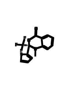 CN1c2ccccc2C(=O)O[C@@]1(c1cccs1)C(F)(F)F